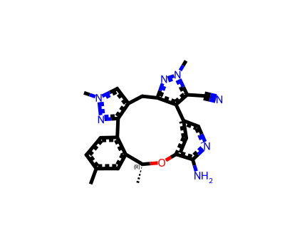 Cc1ccc2c(c1)[C@@H](C)Oc1cc(cnc1N)-c1c(nn(C)c1C#N)Cc1cn(C)nc1-2